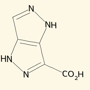 O=C(O)c1n[nH]c2cn[nH]c12